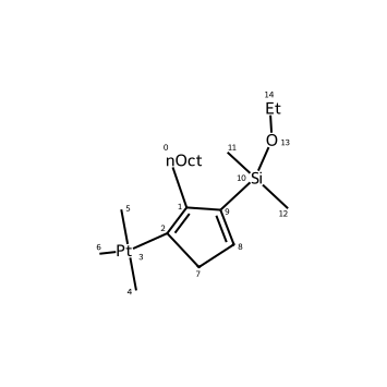 CCCCCCCCC1=[C]([Pt]([CH3])([CH3])[CH3])CC=C1[Si](C)(C)OCC